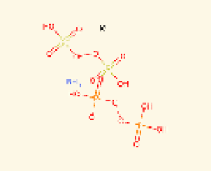 N.O=P([O-])(O)OOP(=O)(O)O.O=S(=O)(O)OOS(=O)(=O)O.[K+]